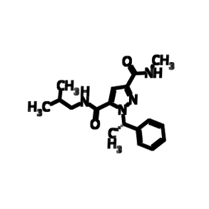 CNC(=O)c1cc(C(=O)NCC(C)C)n([C@@H](C)c2ccccc2)n1